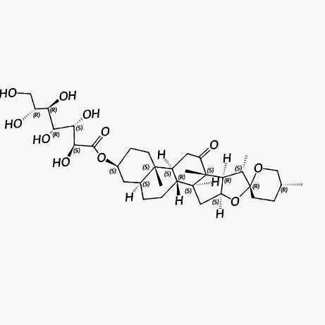 C[C@@H]1CC[C@@]2(OC1)O[C@H]1C[C@H]3[C@@H]4CC[C@H]5C[C@@H](OC(=O)[C@@H](O)[C@@H](O)[C@H](O)[C@H](O)[C@H](O)CO)CC[C@]5(C)[C@H]4CC(=O)[C@]3(C)[C@H]1[C@@H]2C